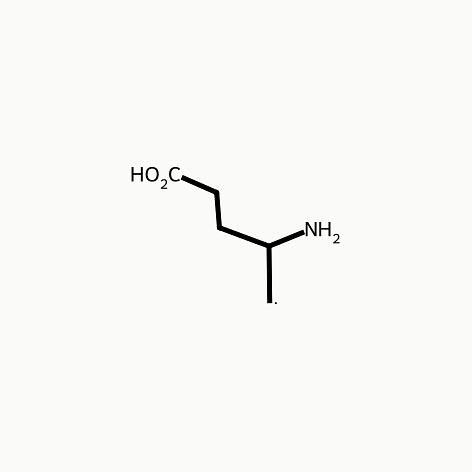 [CH2]C(N)CCC(=O)O